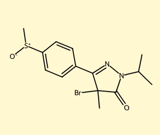 CC(C)N1N=C(c2ccc([S+](C)[O-])cc2)C(C)(Br)C1=O